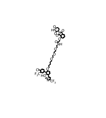 Cn1nc(C(F)(F)F)cc1-c1ccc(OCCCCCOCCOCCOCCNC(=O)COc2cccc3c2C(=O)N(C2CCC(=O)NC2=O)C3=O)c(-c2ccc(Cl)c(C(F)(F)F)c2)c1O